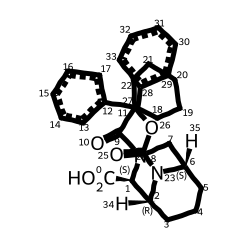 O=C(O)[C@@H]1[C@H]2CCC[C@@H](CN1C(=O)C1(c3ccccc3)CCCCC1)N2C(=O)OCc1ccccc1